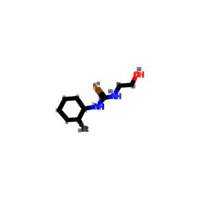 CCC1CCCCC1NC(=S)NCCO